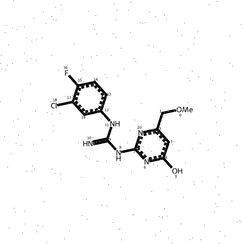 COCc1cc(O)nc(NC(=N)Nc2ccc(F)c(Cl)c2)n1